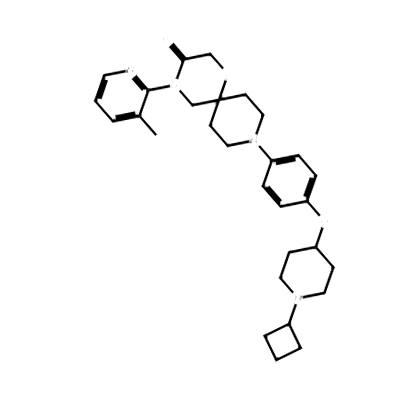 Cc1cccnc1N1CC2(CCN(c3ccc(OC4CCN(C5CCC5)CC4)cc3)CC2)OCC1=O